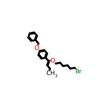 CC/C=C(\OCCCCCCBr)c1ccc(OCc2ccccc2)cc1